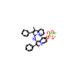 CC1=C(c2ccccc2)C(=Nc2c(-c3ccccc3)c(C)n3ccccc23)[n+]2ccccc21.[O-][Cl+3]([O-])([O-])[O-]